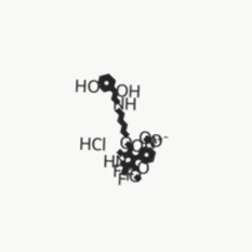 COC(=O)C1=C(C(F)(F)F)NC(C)=C(C(=O)OCCCCCCNCC(O)c2cccc(O)c2)C1c1cccc([N+](=O)[O-])c1.Cl